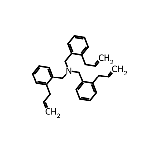 C=CCc1ccccc1CN(Cc1ccccc1CC=C)Cc1ccccc1CC=C